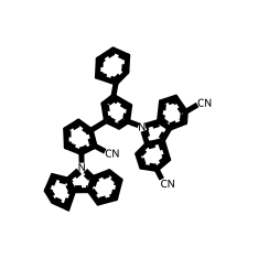 N#Cc1ccc2c(c1)c1cc(C#N)ccc1n2-c1cc(-c2ccccc2)cc(-c2cccc(-n3c4ccccc4c4ccccc43)c2C#N)c1